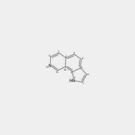 c1cc2ccc3cc[nH]c3c2cn1